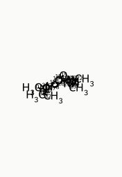 CCN1CCN(c2ccc3c(c2)CCC(=O)C(c2cn4cc(C)nc(C)c4n2)=C3)C[C@@H]1C(C)C